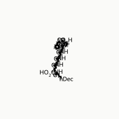 CCCCCCCCCCCCCC(=O)N[C@@H](CCC(=O)NCCC(=O)NCCC(=O)NCCC(=O)N1CCC[C@H]1C(=O)N[C@@H](Cc1ccccc1)C(=O)O)C(=O)O